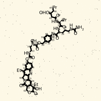 CCc1c2c(nc3ccc(OC(=O)NCCN(C)C(=O)OCc4ccc(NC(=O)[C@H](CCCNC(N)=O)NC(=O)[C@@H](NC(=O)CC(C=O)CC(C)C)C(C)C)cc4)cc13)-c1cc3c(c(=O)n1C2)COC(=O)[C@]3(O)CC